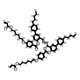 C=CC(=O)OCCCCCCOc1ccc(C(=O)Oc2ccc(-c3ccc(CCCCC)cc3)cc2/C=N/N=C/c2cc(-c3ccc(CCCCC)cc3)ccc2OC(=O)c2ccc(OCCCCCCOC(=O)C=C)cc2)cc1